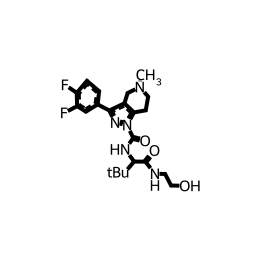 CN1CCc2c(c(-c3ccc(F)c(F)c3)nn2C(=O)NC(C(=O)NCCO)C(C)(C)C)C1